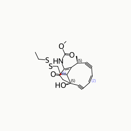 CCSSC/C=C1\C2=C(NC(=O)OC)C(=O)C[C@@]1(O)C#C/C=C\C#C[C@@H]2C